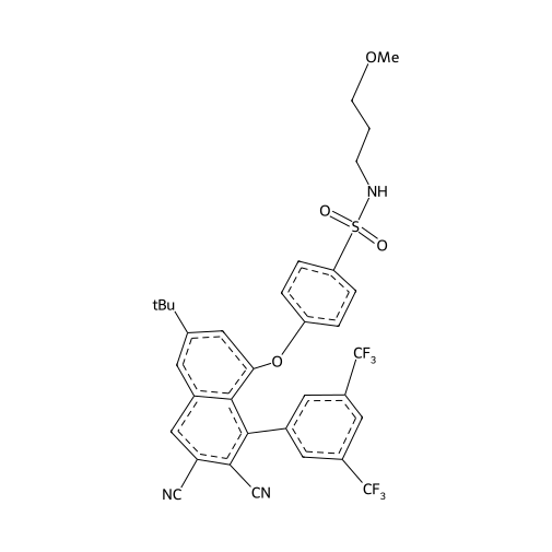 COCCCNS(=O)(=O)c1ccc(Oc2cc(C(C)(C)C)cc3cc(C#N)c(C#N)c(-c4cc(C(F)(F)F)cc(C(F)(F)F)c4)c23)cc1